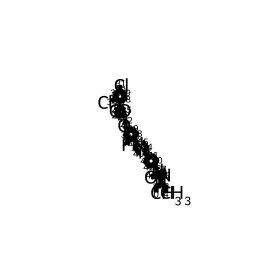 CCC(CC)n1ncn(-c2ccc(N3CCN(c4ccc(OC[C@@H]5CO[C@@H](c6ccc(Cl)cc6Cl)O5)cc4F)CC3)cc2)c1=O